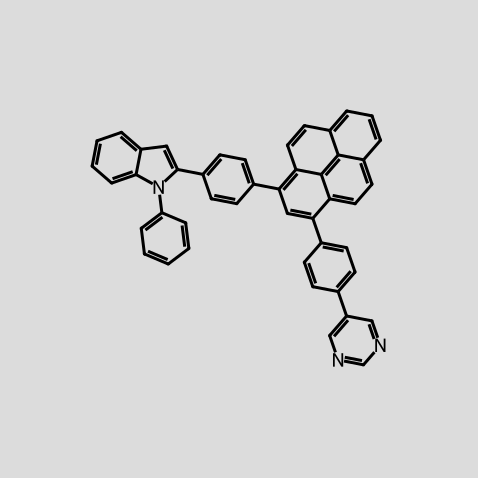 c1ccc(-n2c(-c3ccc(-c4cc(-c5ccc(-c6cncnc6)cc5)c5ccc6cccc7ccc4c5c67)cc3)cc3ccccc32)cc1